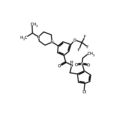 CCS(=O)(=O)c1ccc(Cl)cc1CNC(=O)c1cc(OC(F)(F)F)cc(N2CCN(C(C)C)CC2)c1